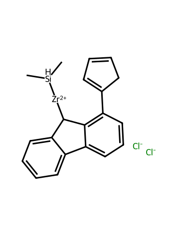 C[SiH](C)[Zr+2][CH]1c2ccccc2-c2cccc(C3=CC=CC3)c21.[Cl-].[Cl-]